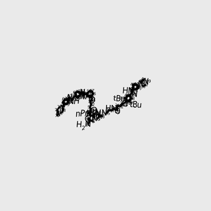 CCCN(CC(=O)N(CC(N)=O)C/C(N)=C/NCCCNC(=O)CCCOc1c(C(C)(C)C)cc(-c2nc3cc(N4CCN(C)CC4)ccc3[nH]2)cc1C(C)(C)C)C(=O)CCCOc1cccc(-c2nc3ccc(-c4nc5ccc(N6CCN(C)CC6)cc5[nH]4)cc3[nH]2)c1